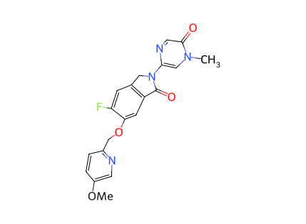 COc1ccc(COc2cc3c(cc2F)CN(c2cn(C)c(=O)cn2)C3=O)nc1